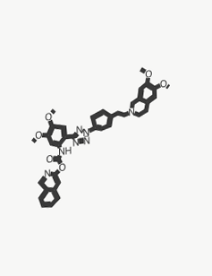 COc1cc2c(cc1OC)CN(CCc1ccc(-n3nnc(-c4cc(OC)c(OC)cc4NC(=O)Oc4cc5ccccc5cn4)n3)cc1)CC2